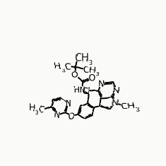 Cc1ccnc(Oc2ccc(-c3cn(C)c4ncnc(Cl)c34)c(CNC(=O)OC(C)(C)C)c2)n1